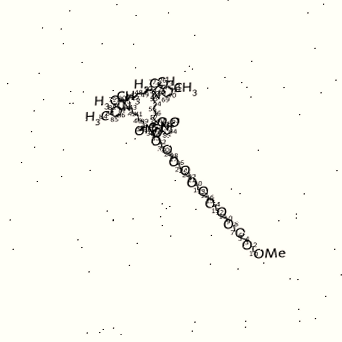 COCCOCCOCCOCCOCCOCCOCCOCCOCCOCCOCCOCCNC(=O)CCCCCN1C(=CC=CC=CC2=[N+](CCCCCC(=O)ON3C(=O)CCC3=O)c3ccc(C)cc3C2(C)C)C(C)(C)c2cc(C)ccc21